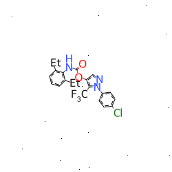 CCc1cccc(CC)c1NC(=O)Oc1cnn(-c2ccc(Cl)cc2)c1C(F)(F)F